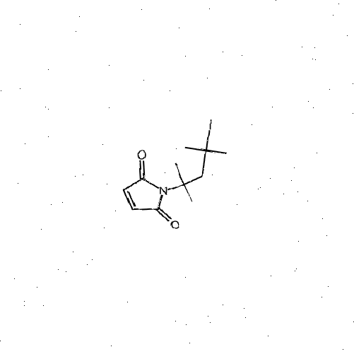 CC(C)(I)CC(C)(C)N1C(=O)C=CC1=O